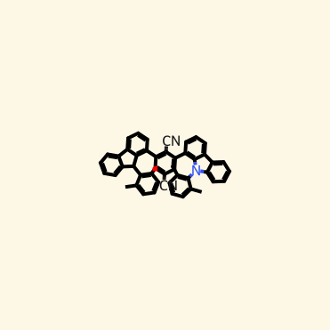 Cc1cccc(C)c1C1c2ccccc2-c2cccc(-c3cc(C#N)cc(-c4cccc5c6ccccc6n(-c6c(C)cccc6C)c45)c3C#N)c21